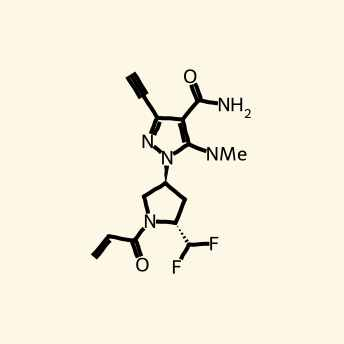 C#Cc1nn([C@H]2C[C@H](C(F)F)N(C(=O)C=C)C2)c(NC)c1C(N)=O